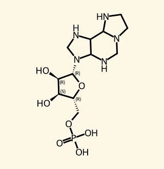 O=P(O)(O)OC[C@H]1O[C@@H](N2CNC3C4NCCN4CNC32)[C@H](O)[C@@H]1O